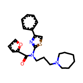 O=C(c1ccco1)N(CCCN1CCCCCC1)c1nc(-c2ccccc2)cs1